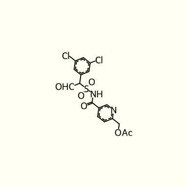 CC(=O)OCc1ccc(C(=O)NS(=O)(=O)C(C=O)c2cc(Cl)cc(Cl)c2)cn1